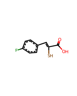 O=C(O)C(S)=Cc1ccc(F)cc1